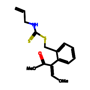 C=CCNC(=S)SCc1ccccc1/C(=C\OC)C(=O)OC